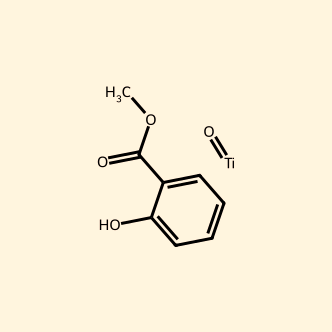 COC(=O)c1ccccc1O.[O]=[Ti]